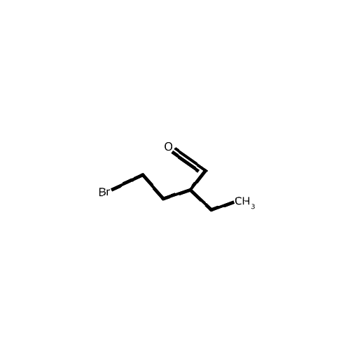 CCC(C=O)CCBr